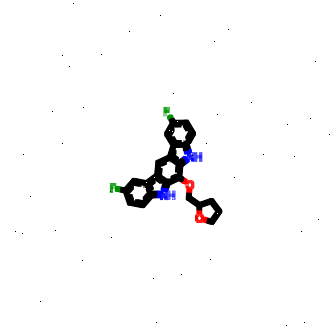 Fc1ccc2[nH]c3c(OCC4CCCO4)c4[nH]c5ccc(F)cc5c4cc3c2c1